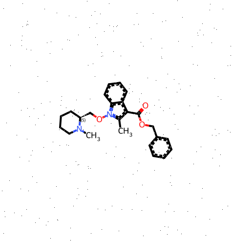 Cc1c(C(=O)OCc2ccccc2)c2ccccc2n1OC[C@@H]1CCCCN1C